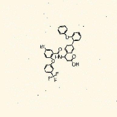 O=C(O)CC(NC(=O)c1cc(Br)ccc1Oc1cccc(C(F)(F)F)c1)c1ccc(-c2ccccc2Oc2ccccc2)cc1